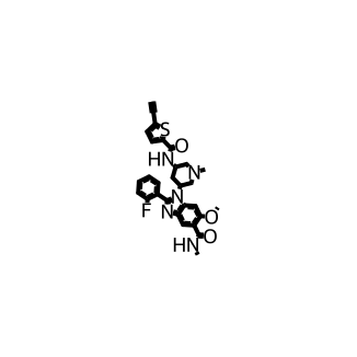 C#Cc1ccc(C(=O)NC2CC(n3c(-c4ccccc4F)nc4cc(C(=O)NC)c(OC)cc43)CN(C)C2)s1